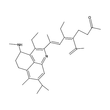 C=C(C)/C(CCC(C)=O)=C(\C=C(/C)c1nc2cc(C(C)C)c(C)c3c2c(c1CC)C(NC)CC3)CC